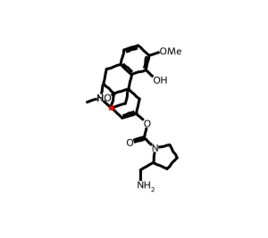 COc1ccc2c(c1O)C13CCN(C)C(C2)C1(O)CC=C(OC(=O)N1CCCC1CN)C3